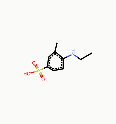 CCNc1ccc(S(=O)(=O)O)cc1C